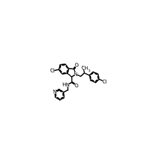 CC(CN1C(=O)c2ccc(Cl)cc2C1C(=O)NCc1cccnc1)c1ccc(Cl)cc1